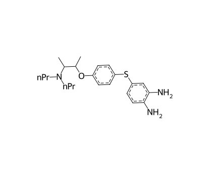 CCCN(CCC)C(C)C(C)Oc1ccc(Sc2ccc(N)c(N)c2)cc1